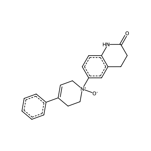 O=C1CCc2cc([N+]3([O-])CC=C(c4ccccc4)CC3)ccc2N1